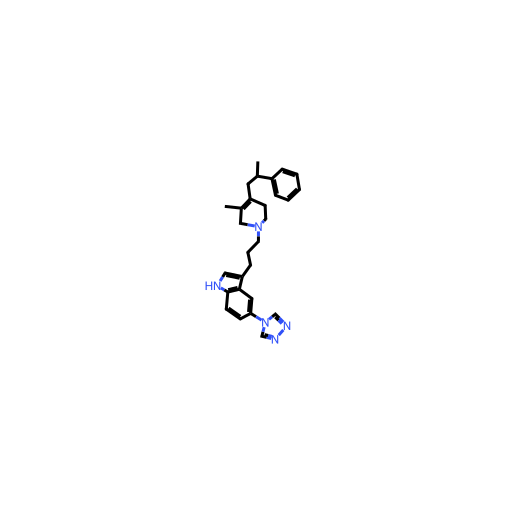 CC1=C(CC(C)c2ccccc2)CCN(CCCc2c[nH]c3ccc(-n4cnnc4)cc23)C1